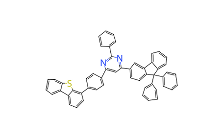 c1ccc(-c2nc(-c3ccc(-c4cccc5c4sc4ccccc45)cc3)cc(-c3ccc4c(c3)-c3ccccc3C4(c3ccccc3)c3ccccc3)n2)cc1